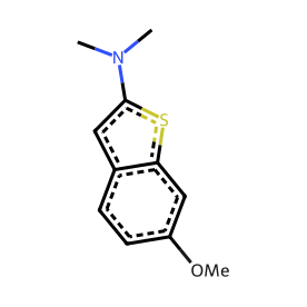 COc1ccc2cc(N(C)C)sc2c1